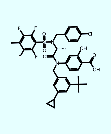 Cc1c(F)c(F)c(S(=O)(=O)N(Cc2ccc(Cl)cc2)[C@H](C)C(=O)N(Cc2cc(C3CC3)cc(C(C)(C)C)c2)c2ccc(C(=O)O)c(O)c2)c(F)c1F